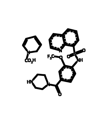 O=C(O)N1C=CC=CC1.O=C(c1ccc(NS(=O)(=O)c2cccc3cccnc23)c(OC(F)(F)F)c1)N1CCNCC1